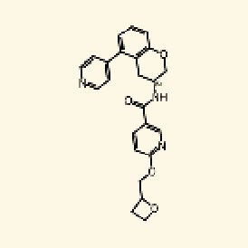 O=C(N[C@@H]1COc2cccc(-c3ccncc3)c2C1)c1ccc(OCC2CCO2)nc1